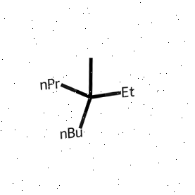 [CH2]CCC(C)(CC)CCCC